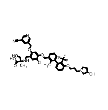 Cc1c(COc2cc(OCc3cncc(C#N)c3)c(CN[C@](C)(CO)C(=O)O)cc2Cl)cccc1-c1cccc(OCCCN2CC[C@@H](O)C2)c1C(F)(F)F